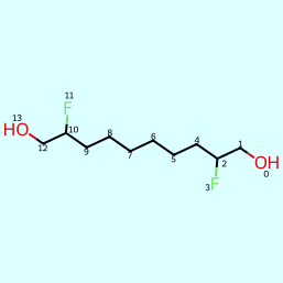 OCC(F)CCCCCCC(F)CO